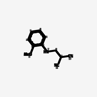 COc1ccccc1NCC(C#N)C#N